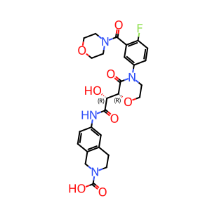 O=C(Nc1ccc2c(c1)CCN(C(=O)O)C2)[C@H](O)[C@H]1OCCN(c2ccc(F)c(C(=O)N3CCOCC3)c2)C1=O